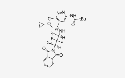 [2H]C([2H])(N[C@H](COC1CC1)c1cc(NC(=O)C(C)(C)C)nnc1Cl)C(F)(F)C([2H])([2H])N1C(=O)c2ccccc2C1=O